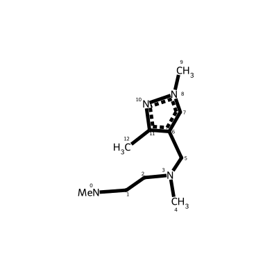 CNCCN(C)Cc1cn(C)nc1C